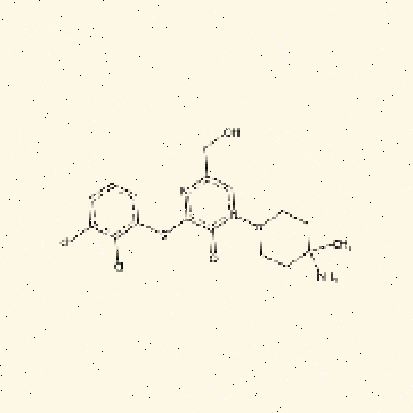 CC1(N)CCN(n2cc(CO)nc(Sc3cccc(Cl)c3Cl)c2=O)CC1